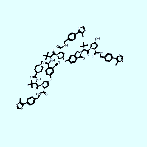 Cc1ncsc1-c1ccc(CNC(=O)[C@@H]2C[C@@H](Oc3ccc4c(c3)CN([C@H](C(=O)N3C[C@H](O)C[C@H]3C(=O)NCc3ccc(-c5scnc5C)cc3)C(C)(C)C)C4=O)CN2C(=O)[C@@H](NC(=O)c2ccc(O[C@@H]3C[C@@H](C(=O)NCc4ccc(-c5scnc5C)cc4)N(C(=O)[C@@H](NC(=O)C4CCN(C)CC4)C(C)(C)C)C3)cc2C#N)C(C)(C)C)cc1